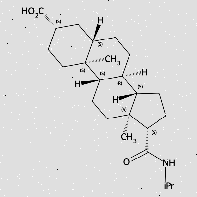 CC(C)NC(=O)[C@H]1CC[C@H]2[C@@H]3CC[C@H]4C[C@@H](C(=O)O)CC[C@]4(C)[C@H]3CC[C@]12C